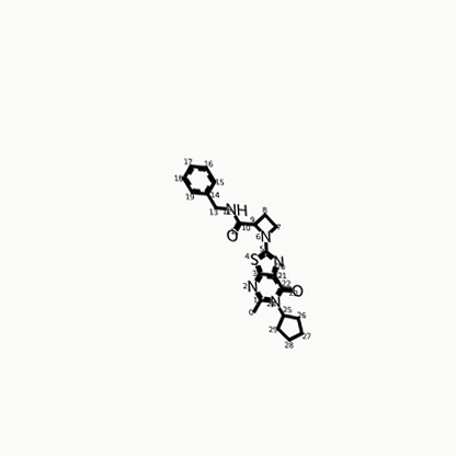 Cc1nc2sc(N3CCC3C(=O)NCc3ccccc3)nc2c(=O)n1C1CCCC1